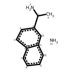 CC(N)c1ccc2ccccc2c1.N